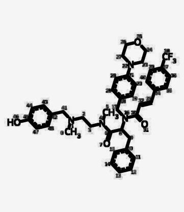 CN(CCN(C)C(=O)C(Cc1ccccc1)N(Cc1ccc(N2CCOCC2)cc1)C(=O)C=Cc1ccc(C(F)(F)F)cc1)Cc1ccc(O)cc1